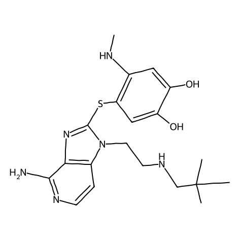 CNc1cc(O)c(O)cc1Sc1nc2c(N)nccc2n1CCNCC(C)(C)C